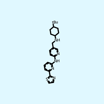 CC(C)(C)C1CCC(NCc2ccc(Nc3cccc(-c4nccs4)n3)nc2)CC1